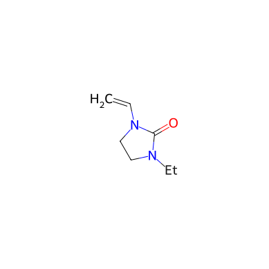 C=CN1CCN(CC)C1=O